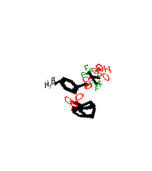 BCc1ccc(C(=O)OC(CS(=O)(=O)O)(C(F)(F)F)C(F)(F)F)c(OC(=O)C23CC4CC(C2)C(=O)C(C4)C3)c1